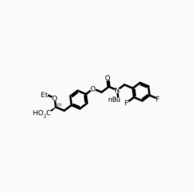 CCCCN(Cc1ccc(F)cc1F)C(=O)COc1ccc(C[C@H](OCC)C(=O)O)cc1